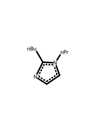 CCCCc1nccn1CCC